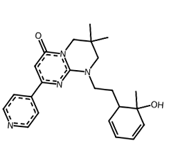 CC1(C)CN(CCC2C=CC=CC2(C)O)c2nc(-c3ccncc3)cc(=O)n2C1